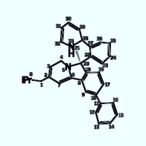 CC(C)CC1=CCN2C(=C1)c1cc(-c3ccccc3)ccc1[C@]2(C)c1ccccc1C1C=CC=CN1